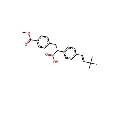 COC(=O)c1ccc(C[C@@H](C(=O)O)c2ccc(C=CC(C)(C)C)cc2)cc1